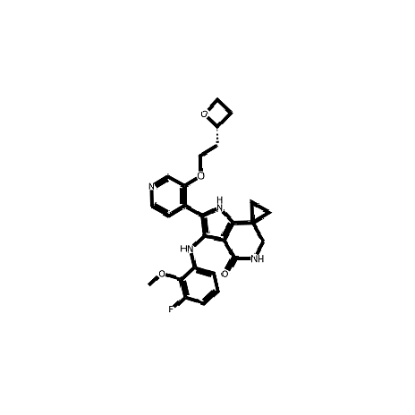 COc1c(F)cccc1Nc1c(-c2ccncc2OCC[C@H]2CCO2)[nH]c2c1C(=O)NCC21CC1